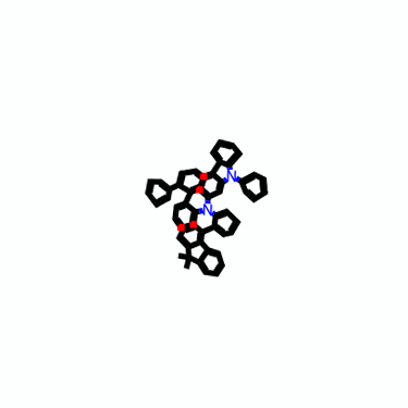 CC1(C)c2ccccc2-c2c(-c3ccccc3N(c3ccc4c5ccccc5n(-c5ccccc5)c4c3)c3ccccc3-c3ccccc3-c3ccccc3)cccc21